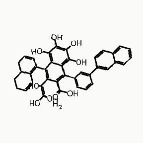 C=C(O)c1c(C(O)=C(O)O)c(C2=C3C=CCCC3CC=C2)c2c(O)c(O)c(O)c(O)c2c1-c1cccc(-c2ccc3ccccc3c2)c1